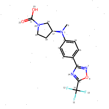 CN(c1ccc(-c2noc(C(F)(F)F)n2)cc1)[C@H]1CCN(C(=O)O)C1